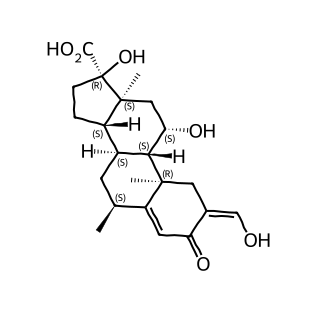 C[C@H]1C[C@@H]2[C@H]([C@@H](O)C[C@@]3(C)[C@H]2CC[C@]3(O)C(=O)O)[C@@]2(C)CC(=CO)C(=O)C=C12